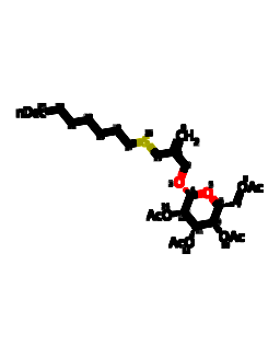 C=C(CO[C@@H]1O[C@H](COC(C)=O)[C@@H](OC(C)=O)[C@H](OC(C)=O)[C@H]1OC(C)=O)CSCCCCCCCCCCCCCCCC